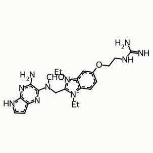 CCn1c(CN(C=O)c2nc3cc[nH]c3nc2N)[n+](CC)c2ccc(OCCNC(=N)N)cc21